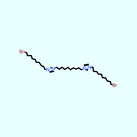 BrCCCCCCCCCC[n+]1ccn(CCCCCCCCCCn2cc[n+](CCCCCCCCCCBr)c2)c1